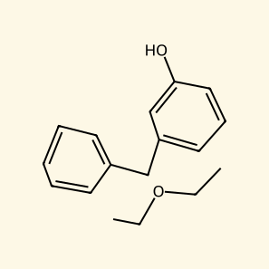 CCOCC.Oc1cccc(Cc2ccccc2)c1